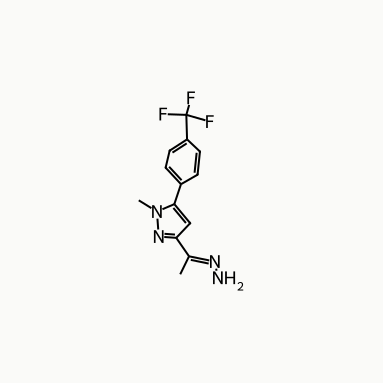 CC(=NN)c1cc(-c2ccc(C(F)(F)F)cc2)n(C)n1